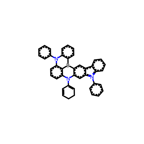 C1=CC(N2c3cc4c(cc3B3c5ccccc5N(c5ccccc5)c5cccc2c53)c2ccccc2n4-c2ccccc2)=CCC1